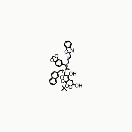 C[C@H]([C@H](C/C=C/c1nc2ccccc2o1)c1ccc2c(c1)OCO2)N(Cc1ccc2ccccc2c1)C(=O)C(O)=C(CC(=O)O)C(=O)OC(C)(C)C